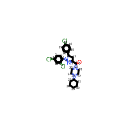 O=C(C1=NN(c2ccc(Cl)cc2Cl)C(c2ccc(Cl)cc2)C1)N1CCN(C2CCCCC2)CC1